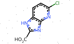 O=C(O)c1nc2nc(Cl)ccc2[nH]1